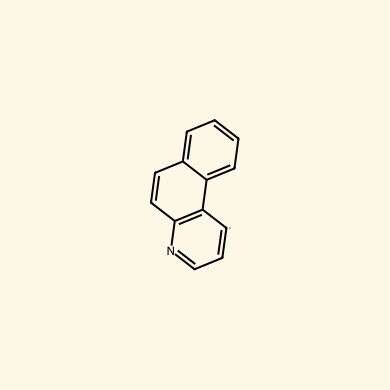 [c]1ccnc2ccc3ccccc3c12